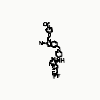 CC(=O)N1CCN(CCn2c(C#N)cc3cc(CN4CCC(Nc5ncnc6sc(CC(F)(F)F)cc56)CC4)ccc32)CC1